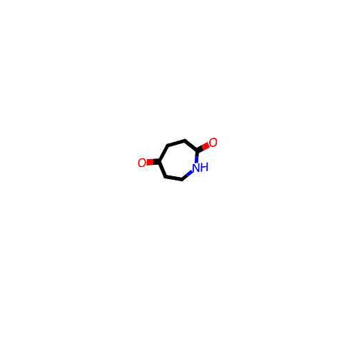 O=C1CCNC(=O)CC1